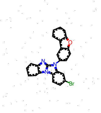 Brc1ccc2c(c1)n(-c1ccc3oc4ccccc4c3c1)c1nc3ccccc3n21